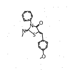 C/N=C1\S/C(=C\c2ccc(OC)cc2)C(=O)N1c1ccccc1